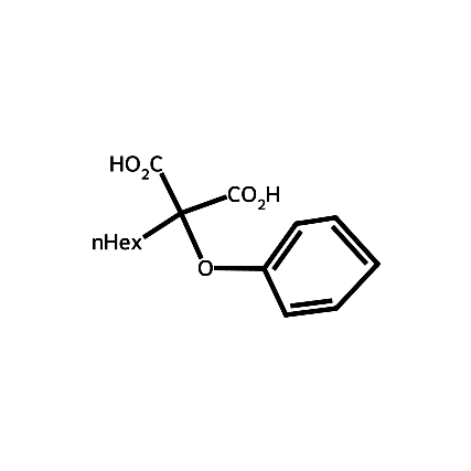 CCCCCCC(Oc1ccccc1)(C(=O)O)C(=O)O